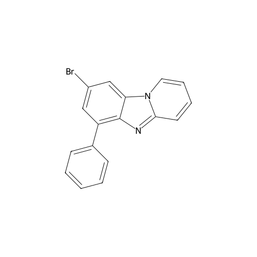 Brc1cc(-c2ccccc2)c2nc3ccccn3c2c1